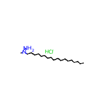 CCCCCCCCCCCCCCCCCCN(C)N.Cl